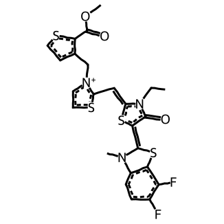 CCn1c(=O)/c(=C2\Sc3c(ccc(F)c3F)N2C)s/c1=C\c1scc[n+]1Cc1ccsc1C(=O)OC